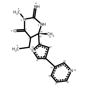 CCC1C(=O)N(C)C(=N)N[C@]1(C)c1cc(-c2cccnc2)cs1